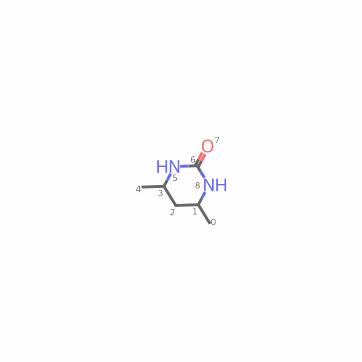 CC1CC(C)NC(=O)N1